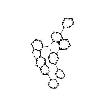 c1ccc(-c2ccc(N(c3ccc(-c4ccccc4)cc3-c3ccccc3)c3cccc4oc5cc6nc(-c7ccccc7)sc6cc5c34)cc2)cc1